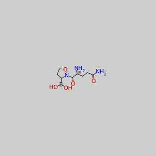 NC(=O)CC[C@H](N)C(=O)N1OCCC1B(O)O